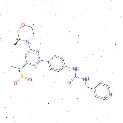 CC(c1cc(N2CCOC[C@@H]2C)nc(-c2ccc(NC(=O)NCc3ccncc3)cc2)n1)=S(=O)=O